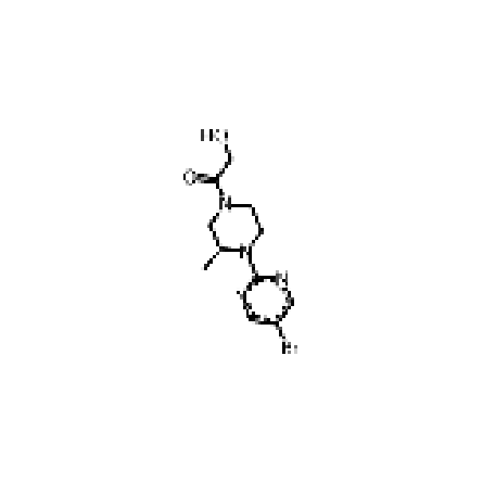 C[C@H]1CN(C(=O)CO)CCN1c1ncc(Br)cn1